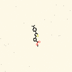 CCOC(=O)c1cccc(-c2cc(-c3ccc(C(C)C)cc3)cs2)c1